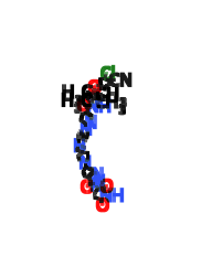 CC1(C)C(NC(=O)c2ccc(N3CC[C@H](CN4CC5(CCN(c6ccc7c(=O)n(C8CCC(=O)NC8=O)nnc7c6)CC5)C4)C3)nc2)C(C)(C)C1Oc1ccc(C#N)c(Cl)c1